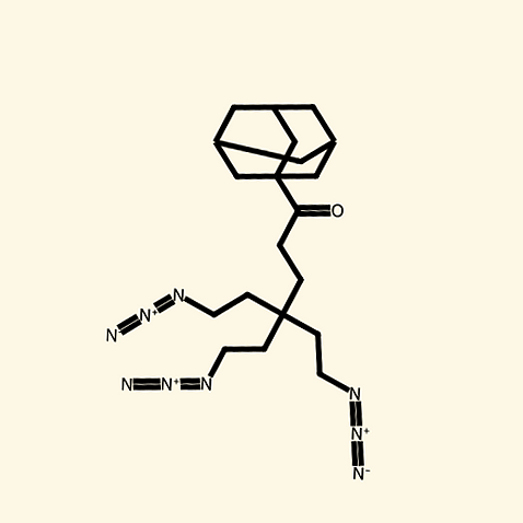 [N-]=[N+]=NCCC(CCN=[N+]=[N-])(CCN=[N+]=[N-])CCC(=O)C12CC3CC(CC(C3)C1)C2